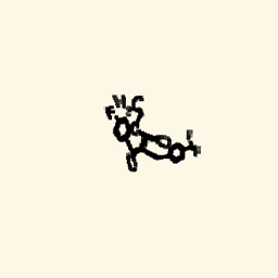 CCOC(=O)C(Cc1ccc(C(F)F)cc1)C(=O)c1ccc(F)cc1